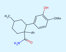 COc1ccc(C2CC(C)CCC2(C(N)=O)C(C)C)cc1O